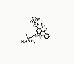 COS(=O)(=O)[O-].C[N+](C)(C)CCCNc1cc(C(N)=O)c(N)c2c1C(=O)c1ccccc1C2=O